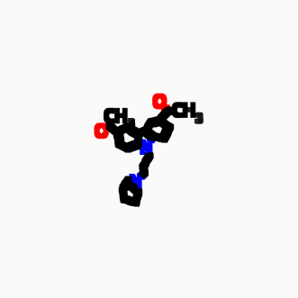 CC(=O)c1ccc2c(c1)c1cc(C(C)=O)ccc1n2CCCN1CC2CCC1C2